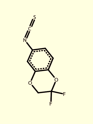 FC1(F)COc2cc(N=C=S)ccc2O1